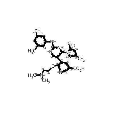 Cc1cc(C)cc(Nc2ncc(-c3cc(C(=O)O)cnc3OCCN(C)C)c(-n3nc(C(F)(F)F)cc3C)n2)c1